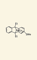 CCC12c3ccccc3C(CC)(c3cc(SC)ccc31)N2C